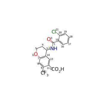 O=C(NC1CCOc2cc(C(F)(F)F)c(C(=O)O)cc21)c1ccccc1Cl